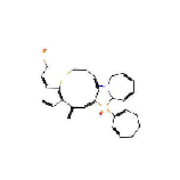 C=C/C1=C(\C=C/CP=O)SCC/C=C\C(P(=O)(C2=CCCCC=C2)C2C=CC=CCN2C)=C/C1=C